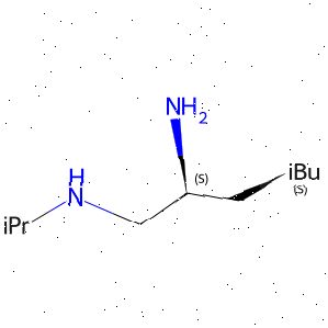 CC[C@H](C)C[C@H](N)CNC(C)C